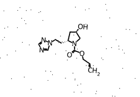 C=CCOC(=O)N1C[C@H](O)C[C@H]1CCn1cncn1